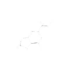 COC(=O)c1cc(C)c2[nH]c(=O)oc2c1